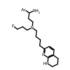 CC(=O)C(N)CCN(CCCF)CCCCc1ccc2c(n1)NCCC2